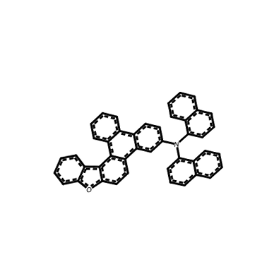 c1ccc2c(N(c3ccc4c5ccccc5c5c(ccc6oc7ccccc7c65)c4c3)c3cccc4ccccc34)cccc2c1